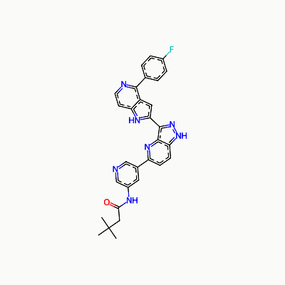 CC(C)(C)CC(=O)Nc1cncc(-c2ccc3[nH]nc(-c4cc5c(-c6ccc(F)cc6)nccc5[nH]4)c3n2)c1